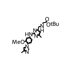 COc1cc(Nc2nc(C)cc(CNCC(=O)OC(C)(C)C)n2)ccc1-n1cnc(C)c1